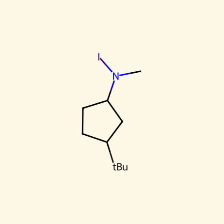 CN(I)C1CCC(C(C)(C)C)C1